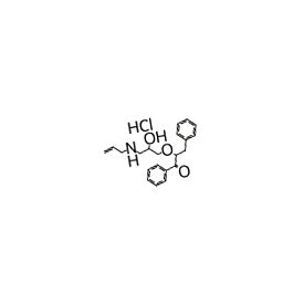 C=CCNCC(O)COC(Cc1ccccc1)C(=O)c1ccccc1.Cl